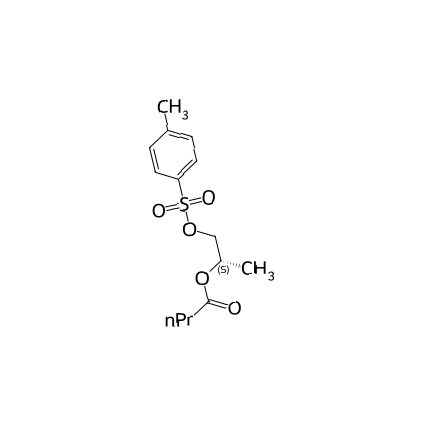 CCCC(=O)O[C@@H](C)COS(=O)(=O)c1ccc(C)cc1